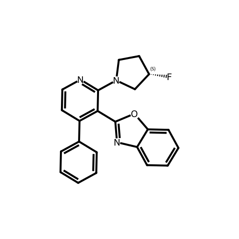 F[C@H]1CCN(c2nccc(-c3ccccc3)c2-c2nc3ccccc3o2)C1